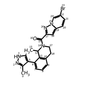 Cc1n[nH]cc1-c1cccc2c1C(C)N(C(=O)c1cc3ccc(Br)cn3n1)CC2